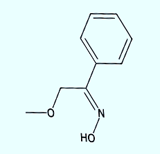 COCC(=NO)c1ccccc1